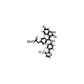 COC(=O)Cc1ccc(/C(Nc2ccc(-c3nccn3C)cc2)=C2/C(=O)Nc3cc(F)ccc32)cc1